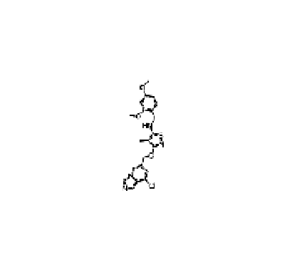 COc1ccc(CNc2snc(OCc3cc(Cl)c4cncn4c3)c2C)c(OC)c1